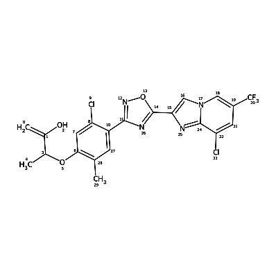 C=C(O)C(C)Oc1cc(Cl)c(-c2noc(-c3cn4cc(C(F)(F)F)cc(Cl)c4n3)n2)cc1C